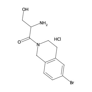 Cl.NC(CO)C(=O)N1CCc2cc(Br)ccc2C1